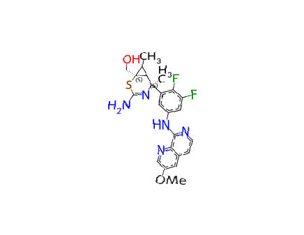 COc1cnc2c(Nc3cc(F)c(F)c([C@@]4(C)N=C(N)S[C@@]5(CO)C(C)C54)c3)nccc2c1